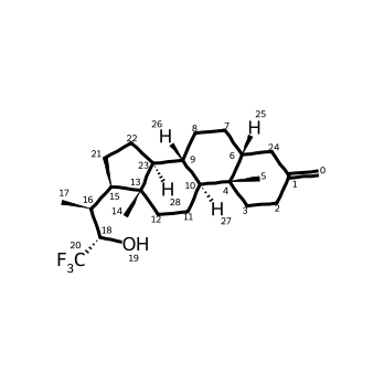 C=C1CC[C@@]2(C)[C@H](CC[C@@H]3[C@@H]2CC[C@]2(C)[C@@H]([C@H](C)[C@H](O)C(F)(F)F)CC[C@@H]32)C1